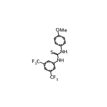 COc1ccc(NC(=S)Nc2cc(C(F)(F)F)cc(C(F)(F)F)c2)cc1